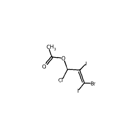 CC(=O)OC(Cl)C(I)=C(Br)I